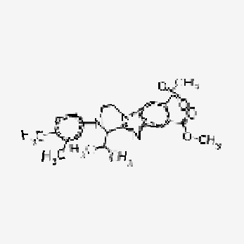 COC(=O)c1cc2nc3n(c2cc1S(C)(=O)=O)CCN(c1ccc(C)c(C)c1)[C@@H]3C(C)C